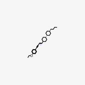 CCCC[C@H]1CC[C@H](C2CCC(/C=C/C#Cc3ccc(OCC)cc3)CC2)CC1